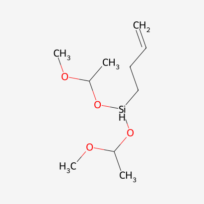 C=CCC[SiH](OC(C)OC)OC(C)OC